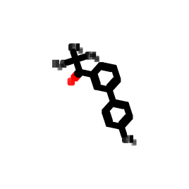 Cc1ccc(-c2cccc(C(=O)C(C)(C)C)c2)cc1